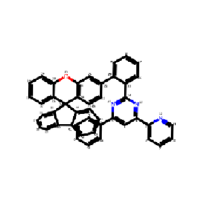 c1ccc(-c2cc(-c3ccccn3)nc(-c3ccccc3-c3ccc4c(c3)Oc3ccccc3C43c4ccccc4-c4ccccc43)n2)cc1